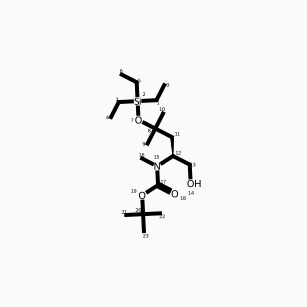 CC[Si](CC)(CC)OC(C)(C)C[C@@H](CO)N(C)C(=O)OC(C)(C)C